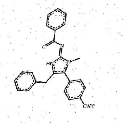 COc1ccc(-c2c(Cc3ccccc3)[nH]/c(=N\C(=O)c3ccccc3)n2C)cc1